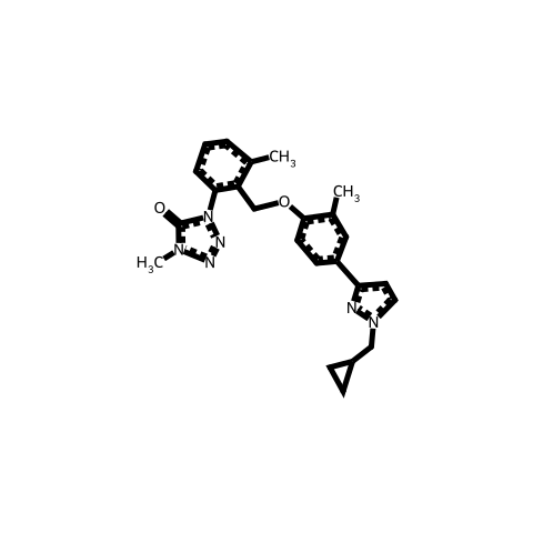 Cc1cc(-c2ccn(CC3CC3)n2)ccc1OCc1c(C)cccc1-n1nnn(C)c1=O